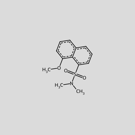 COc1cccc2cccc(S(=O)(=O)N(C)C)c12